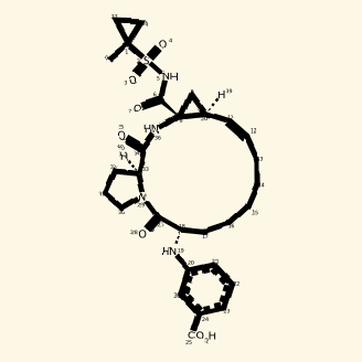 CC1(S(=O)(=O)NC(=O)[C@@]23C[C@H]2/C=C\CCCCC[C@H](Nc2cccc(C(=O)O)c2)C(=O)N2CCC[C@H]2C(=O)N3)CC1